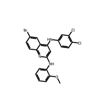 COc1ccccc1Nc1cc(Nc2ccc(Cl)c(Cl)c2)c2cc(Br)ccc2n1